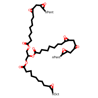 CCCCCCCCC1OC1CCCCCCCC(=O)OCC(COC(=O)CCCCCCCC1OC1CC1OC1CCCCC)OC(=O)CCCCCCCC1OC1CC1OC1CC1OC1CCCCC